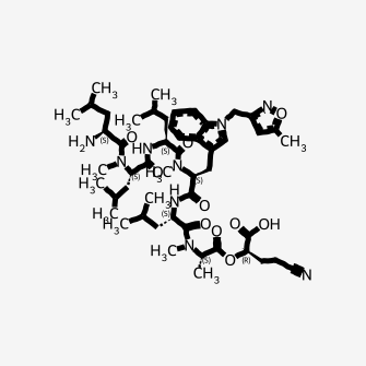 Cc1cc(Cn2cc(C[C@@H](C(=O)N[C@@H](CC(C)C)C(=O)N(C)[C@@H](C)C(=O)O[C@H](CCC#N)C(=O)O)N(C)C(=O)[C@H](CC(C)C)NC(=O)[C@H](CC(C)C)N(C)C(=O)[C@@H](N)CC(C)C)c3ccccc32)no1